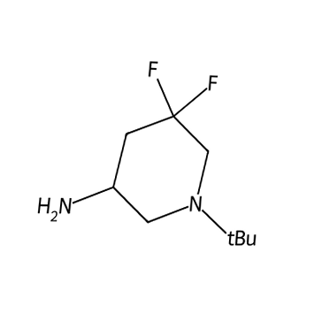 CC(C)(C)N1CC(N)CC(F)(F)C1